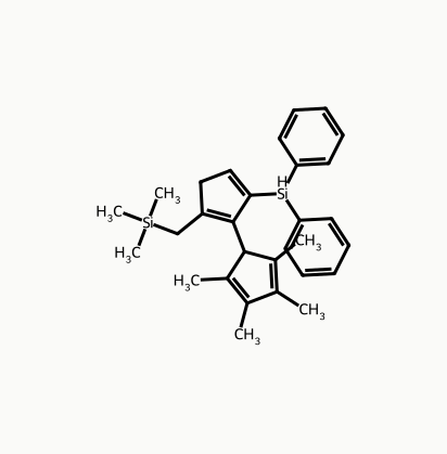 CC1=C(C)C(C2=C(C[Si](C)(C)C)CC=C2[SiH](c2ccccc2)c2ccccc2)C(C)=C1C